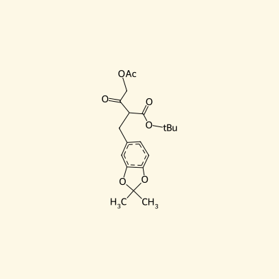 CC(=O)OCC(=O)C(Cc1ccc2c(c1)OC(C)(C)O2)C(=O)OC(C)(C)C